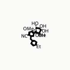 CCc1ccc(Cc2cc([C@]3(OC)O[C@H](CO)[C@@H](O)[C@H](O)[C@H]3O)c(OC)cc2C#N)cc1